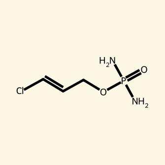 NP(N)(=O)OC/C=C/Cl